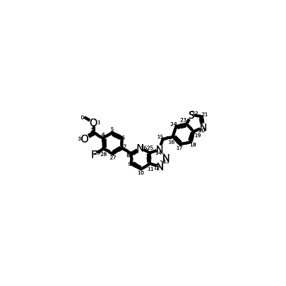 COC(=O)c1ccc(-c2ccc3nnn(Cc4ccc5ncsc5c4)c3n2)cc1F